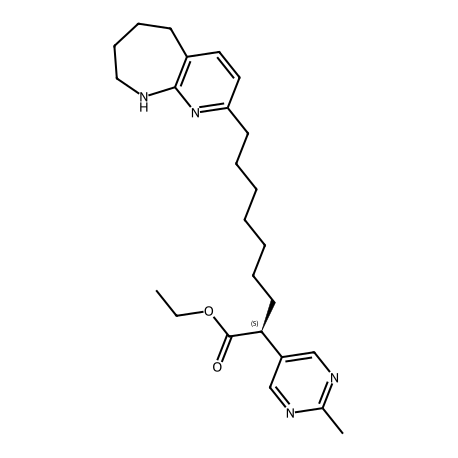 CCOC(=O)[C@@H](CCCCCCCc1ccc2c(n1)NCCCC2)c1cnc(C)nc1